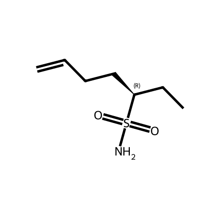 C=CCC[C@@H](CC)S(N)(=O)=O